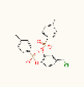 Cc1ccc(S(=O)(=O)Oc2ccc(CCl)cc2OS(=O)(=O)c2ccc(C)cc2)cc1